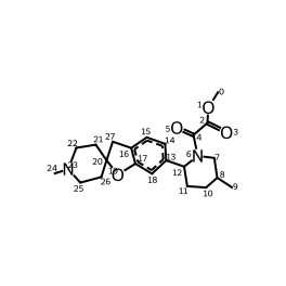 COC(=O)C(=O)N1CC(C)CCC1c1ccc2c(c1)OC1(CCN(C)CC1)C2